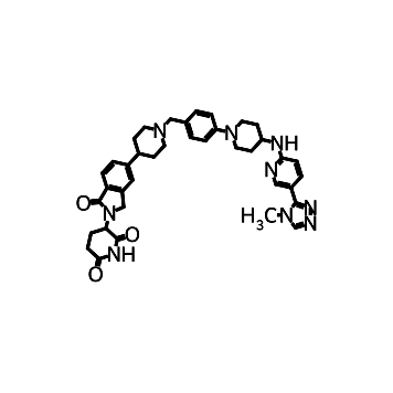 Cn1cnnc1-c1ccc(NC2CCN(c3ccc(CN4CCC(c5ccc6c(c5)CN(C5CCC(=O)NC5=O)C6=O)CC4)cc3)CC2)nc1